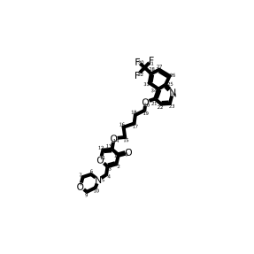 O=c1cc(CN2CCOCC2)occ1OCCCCCOc1ccnc2ccc(C(F)(F)F)cc12